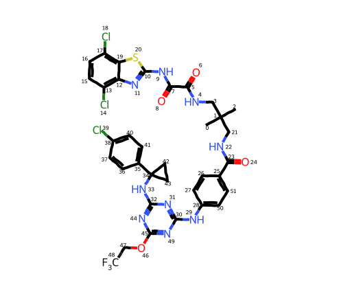 CC(C)(CNC(=O)C(=O)Nc1nc2c(Cl)ccc(Cl)c2s1)CNC(=O)c1ccc(Nc2nc(NC3(c4ccc(Cl)cc4)CC3)nc(OCC(F)(F)F)n2)cc1